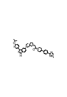 CC(C)Oc1ccc(-c2n[nH]c3ccc(N4CC[C@@]5(CCN(CC(=O)N6CC=C(c7ccc(-c8ncn(C)n8)cc7)CC6)C5)C4)cc23)cn1